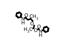 CC(COCC(C)OC(=O)Nc1ccccc1)CC(=O)Nc1ccccc1